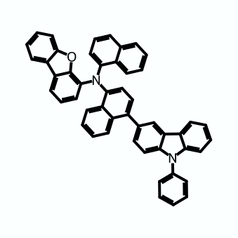 c1ccc(-n2c3ccccc3c3cc(-c4ccc(N(c5cccc6ccccc56)c5cccc6c5oc5ccccc56)c5ccccc45)ccc32)cc1